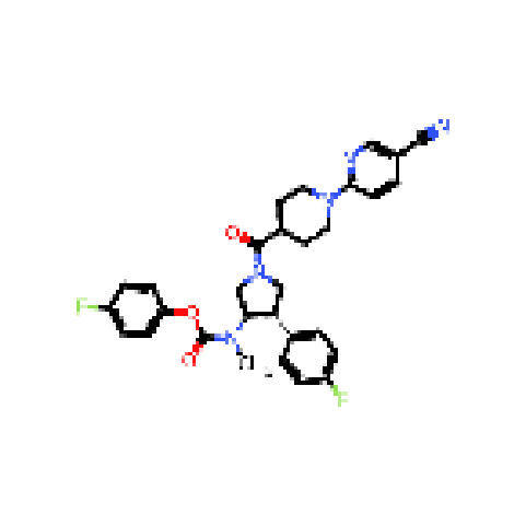 CN(C(=O)Oc1ccc(F)cc1)[C@H]1CN(C(=O)C2CCN(c3ccc(C#N)cn3)CC2)C[C@@H]1c1ccc(F)cc1